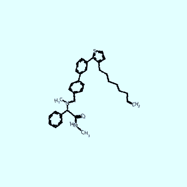 CCCCCCCCc1ccsc1-c1cccc(-c2ccc(CN(C)[C@@H](C(=O)NC)c3ccccc3)cc2)c1